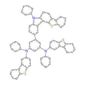 c1ccc(N(c2cc(-c3ccc4c(c3)c3c5sc6ccccc6c5ccc3n4-c3ccccc3)cc(N(c3ccccc3)c3ccc4sc5ccccc5c4c3)c2)c2ccc3sc4ccccc4c3c2)cc1